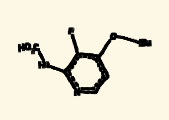 CCC(C)Oc1ccnc(NC(=O)O)c1F